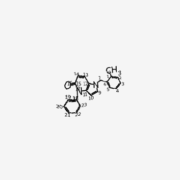 Cc1ccccc1Cn1ccc2c1ccc(=O)n2-c1ccccc1